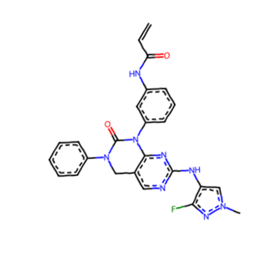 C=CC(=O)Nc1cccc(N2C(=O)N(c3ccccc3)Cc3cnc(Nc4cn(C)nc4F)nc32)c1